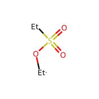 C[CH]OS(=O)(=O)CC